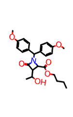 CCCCOC(=O)C1C(C(C)O)C(=O)N1C(c1ccc(OC)cc1)c1ccc(OC)cc1